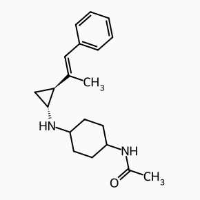 CC(=O)NC1CCC(N[C@@H]2C[C@H]2/C(C)=C/c2ccccc2)CC1